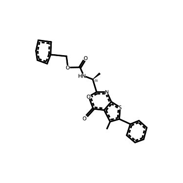 Cc1c(-c2ccccc2)sc2nc([C@H](C)NC(=O)OCc3ccccc3)oc(=O)c12